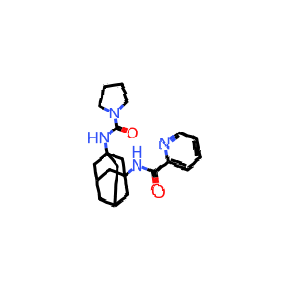 O=C(NC12CC3CC(C1)CC(NC(=O)N1CCCC1)(C3)C2)c1ccccn1